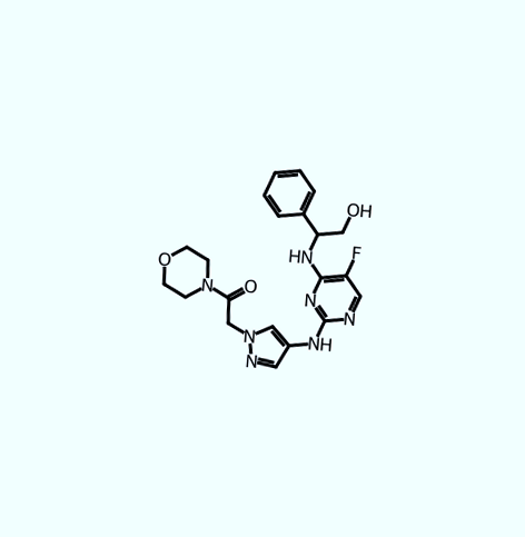 O=C(Cn1cc(Nc2ncc(F)c(NC(CO)c3ccccc3)n2)cn1)N1CCOCC1